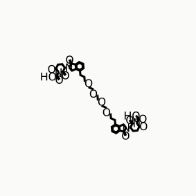 O=C(O)N1C(=O)CCC(N2Cc3c(CCCOCCOCCOCCOCCCc4cccc5c4CN(C4CCC(=O)N(C(=O)O)C4=O)C5=O)cccc3C2=O)C1=O